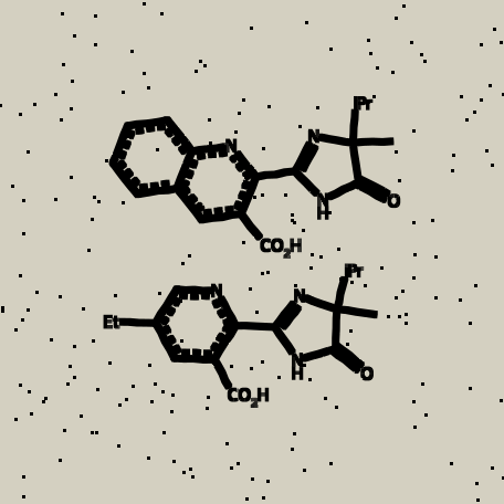 CC(C)C1(C)N=C(c2nc3ccccc3cc2C(=O)O)NC1=O.CCc1cnc(C2=NC(C)(C(C)C)C(=O)N2)c(C(=O)O)c1